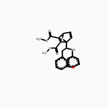 COC(=O)C1=C(C(=O)OC)C2(C(Cc3cccc(Cl)c3)Nc3ccccc3)C=CC1O2